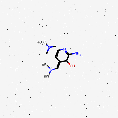 CCCN(C=C1C=CN=C(N)C1O)CCC.CN(C)C(=O)O